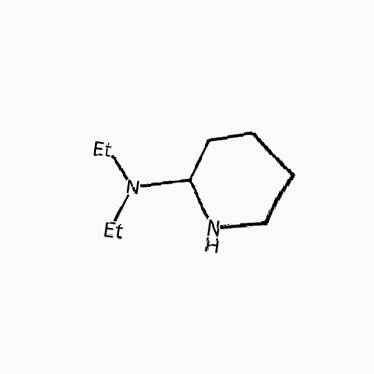 CCN(CC)C1CCCCN1